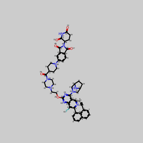 C#Cc1cccc2cccc(-c3ncc4c(N5CC6CCC(C5)N6)nc(OCCN5CCN(C(=O)C6CCN(c7ccc8c(c7)C(=O)N(C7CCC(=O)NC7=O)C8=O)CC6)CC5)nc4c3F)c12